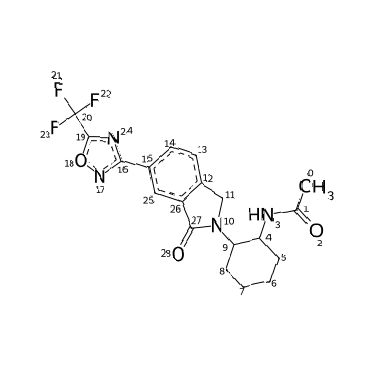 CC(=O)NC1CCCCC1N1Cc2ccc(-c3noc(C(F)(F)F)n3)cc2C1=O